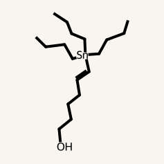 CCC[CH2][Sn](/[CH]=C/CCCCO)([CH2]CCC)[CH2]CCC